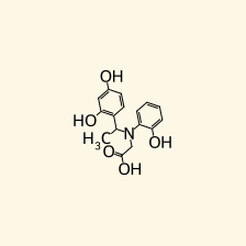 CC(c1ccc(O)cc1O)N(CC(=O)O)c1ccccc1O